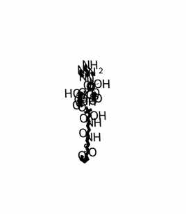 CC(C)(COP(=O)(O)OP(=O)(O)OC[C@H]1O[C@@H](n2cnc3c(N)ncnc32)[C@H](O)[C@@H]1OP(=O)(O)O)[C@@H](O)C(=O)NCCC(=O)NCCSC(=O)c1ccco1